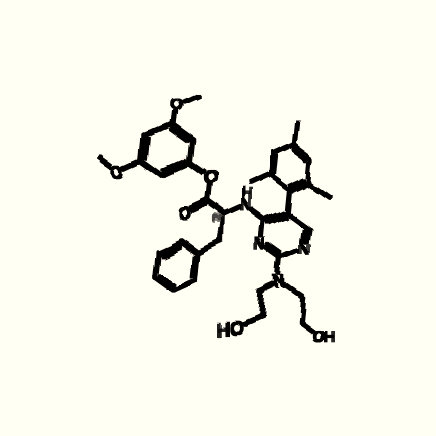 COc1cc(OC)cc(OC(=O)[C@H](Cc2ccccc2)Nc2nc(N(CCO)CCO)ncc2-c2c(C)cc(C)cc2C)c1